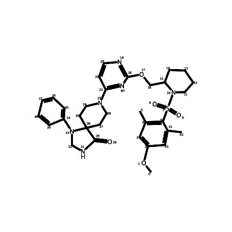 COc1cc(C)c(S(=O)(=O)N2CCCCC2COc2nccc(N3CCC4(CC3)C(=O)NCN4c3ccccc3)n2)c(C)c1